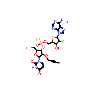 CC#CCOC1C(OP(=O)(S)OCC2OC(n3cnc4c(N)ncnc43)C(F)C2O)C(CO)OC1n1ccc(=O)[nH]c1=O